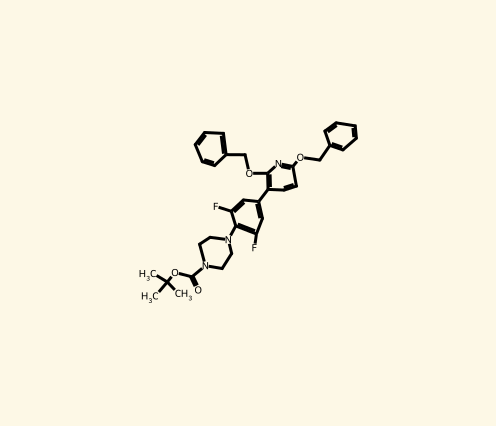 CC(C)(C)OC(=O)N1CCN(c2c(F)cc(-c3ccc(OCc4ccccc4)nc3OCc3ccccc3)cc2F)CC1